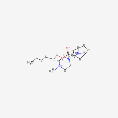 CCCCCCOC(=O)CN1C2CCC1CC(N1CCN(C)CC1)C2